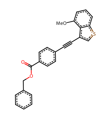 COc1cccc2scc(C#Cc3ccc(C(=O)OCc4ccccc4)cc3)c12